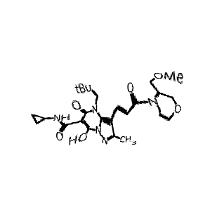 COCC1COCCN1C(=O)C=Cc1c(C)nn2c(O)c(C(=O)NC3CC3)c(=O)n(CC(C)(C)C)c12